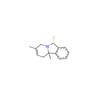 CC1=CCC2(C)c3ccccc3[C@@H](C)N2C1